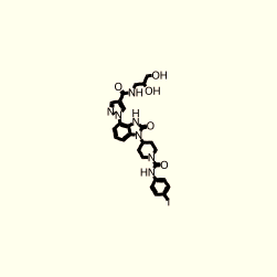 O=C(NCC(O)CO)c1cnn(-c2cccc3c2[nH]c(=O)n3C2CCN(C(=O)Nc3ccc(I)cc3)CC2)c1